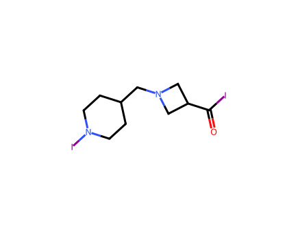 O=C(I)C1CN(CC2CCN(I)CC2)C1